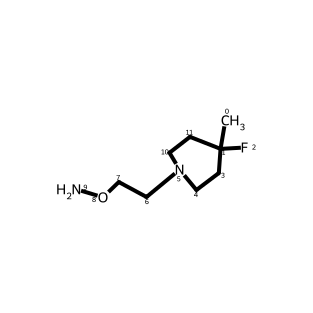 CC1(F)CCN(CCON)CC1